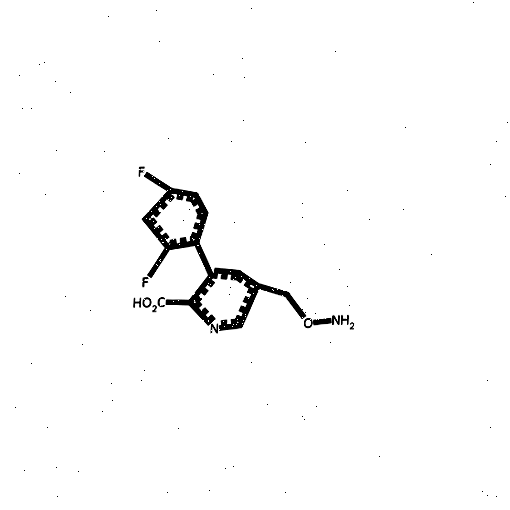 NOCc1cnc(C(=O)O)c(-c2ccc(F)cc2F)c1